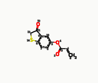 C=CC(=O)Oc1ccc2c(c1)C(=O)CS2